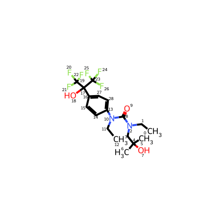 CCN(CC(C)(C)O)C(=O)N(CC)c1ccc(C(O)(C(F)(F)F)C(F)(F)F)cc1